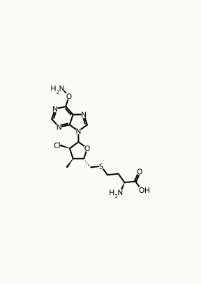 C[C@@H]1[C@@H](CSCC[C@H](N)C(=O)O)OC(n2cnc3c(ON)ncnc32)[C@@H]1Cl